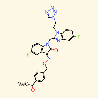 COC(=O)c1ccc(CO/N=C2/C(=O)N(Cc3nc4cc(F)ccc4n3CCn3cnnn3)c3ccc(F)cc32)cc1